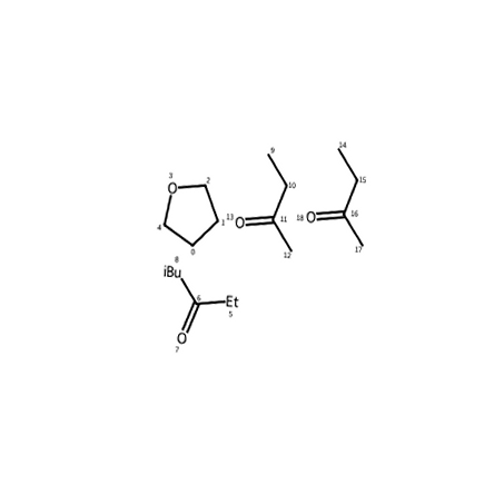 C1CCOC1.CCC(=O)C(C)CC.CCC(C)=O.CCC(C)=O